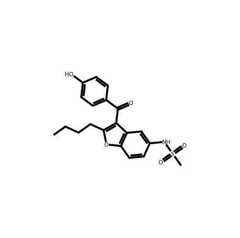 CCCCc1oc2ccc(NS(C)(=O)=O)cc2c1C(=O)c1ccc(O)cc1